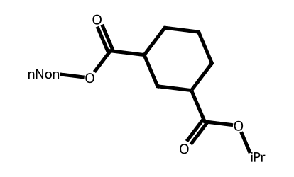 CCCCCCCCCOC(=O)C1CCCC(C(=O)OC(C)C)C1